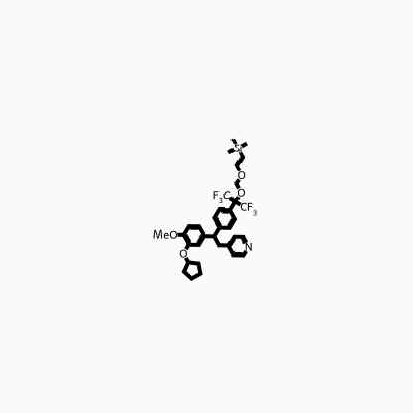 COc1ccc(C(Cc2ccncc2)c2ccc(C(OCOCC[Si](C)(C)C)(C(F)(F)F)C(F)(F)F)cc2)cc1OC1CCCC1